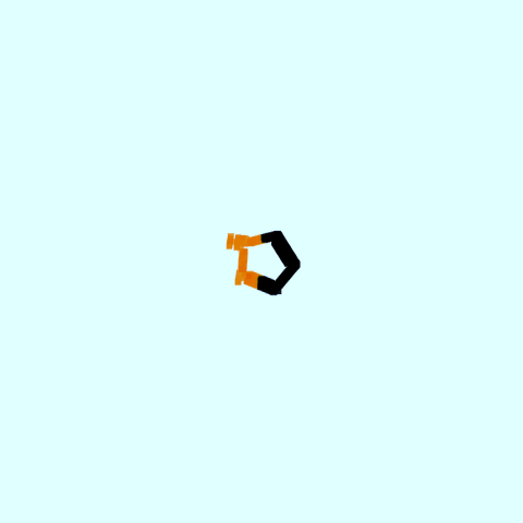 [c]1cc[pH]p1